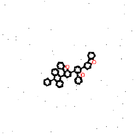 c1ccc(-c2c3ccccc3c(-c3ccc(-c4ccc(-c5ccc6oc7ccccc7c6c5)c5oc6ccccc6c45)c4oc5ccccc5c34)c3ccccc23)cc1